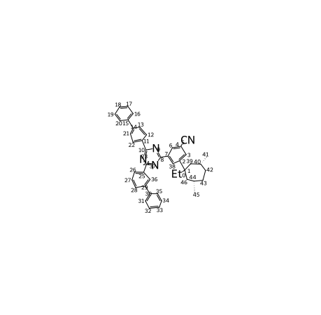 CCC1(c2cc(C#N)cc(-c3nc(-c4ccc(-c5ccccc5)cc4)nc(-c4cccc(-c5ccccc5)c4)n3)c2)C[C@H](C)CC[C@H](C)C1